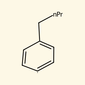 CCCCc1cc[c]cc1